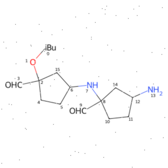 CCC(C)OC1(C=O)CCC(NC2(C=O)CCC(N)C2)C1